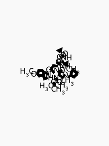 COc1ccc2c(O[C@@H]3C[C@@H](C(=O)N[C@]4(C(=O)NS(=O)(=O)C5CC5)C[C@H]4C)N(C(=O)[C@@H](NC(=O)OC(C)(C)C)[C@@H](C)OCc4ccccc4)C3)nccc2c1